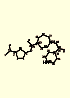 CC(C)N1CCC(C[C@@H](C)N2CCCN(C[C@@H](C)N3CCNCC3)CC2)C1